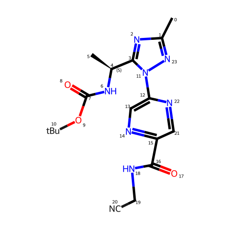 Cc1nc([C@H](C)NC(=O)OC(C)(C)C)n(-c2cnc(C(=O)NCC#N)cn2)n1